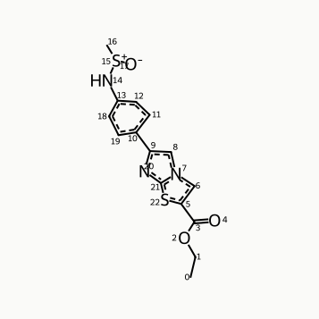 CCOC(=O)c1cn2cc(-c3ccc(N[S+](C)[O-])cc3)nc2s1